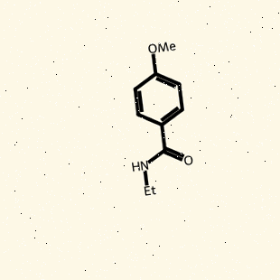 CCNC(=O)c1ccc(OC)cc1